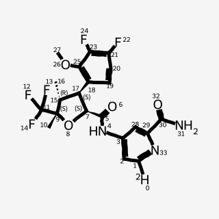 [2H]c1cc(NC(=O)[C@H]2O[C@](C)(C(F)(F)F)[C@H](C)[C@H]2c2ccc(F)c(F)c2OC)cc(C(N)=O)n1